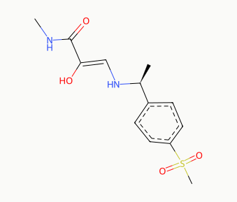 CNC(=O)C(O)=CN[C@@H](C)c1ccc(S(C)(=O)=O)cc1